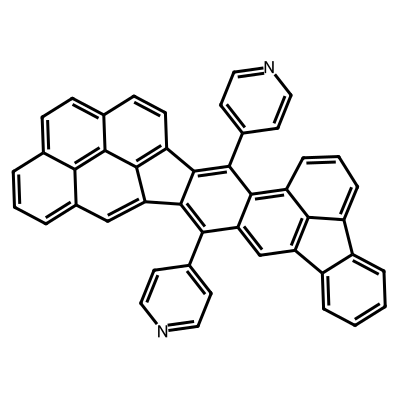 c1cc2ccc3ccc4c5c(-c6ccncc6)c6c(cc7c8ccccc8c8cccc6c87)c(-c6ccncc6)c5c5cc(c1)c2c3c54